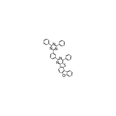 c1ccc(-c2nc(-c3ccccc3)nc(-c3cccc(-c4nc(-c5ccccc5)c5sc6c(ccc7oc8ccccc8c76)c5n4)c3)n2)cc1